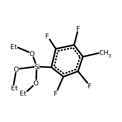 CCO[Si](OCC)(OCC)c1c(F)c(F)c(C)c(F)c1F